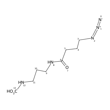 [N-]=[N+]=NCCCC(=O)NCCCNC(=O)O